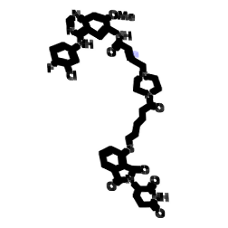 COc1cc2ncnc(Nc3ccc(F)c(Cl)c3)c2cc1NC(=O)/C=C/CN1CCN(C(=O)CCCCCSc2cccc3c2C(=O)N(C2CCC(=O)NC2=O)C3=O)CC1